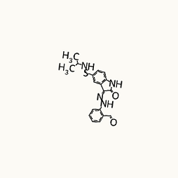 CC(C)NSc1ccc2c(c1)/C(=N/Nc1ccccc1C=O)C(=O)N2